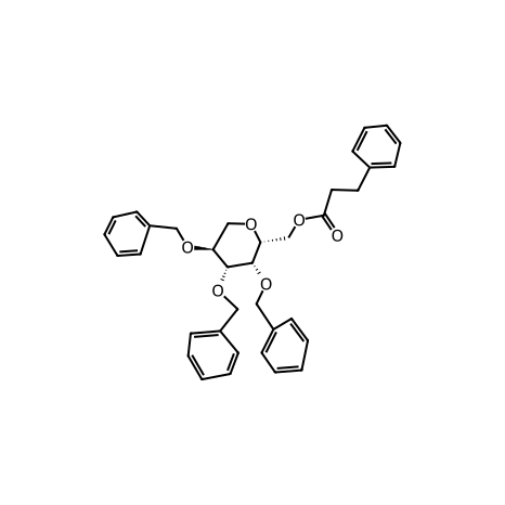 O=C(CCc1ccccc1)OC[C@H]1OC[C@H](OCc2ccccc2)[C@@H](OCc2ccccc2)[C@H]1OCc1ccccc1